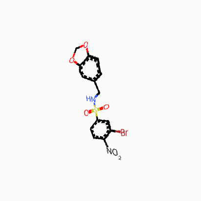 O=[N+]([O-])c1ccc(S(=O)(=O)NCc2ccc3c(c2)OCO3)cc1Br